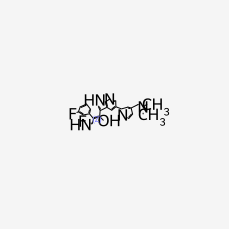 CN(C)Cc1ccnc(-c2cnc3[nH]cc(/C(O)=C(/C=N)c4cccc(F)c4F)c3c2)c1